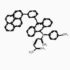 C=C(C)/C=C\C(=C)N(c1ccc(C)cc1)c1c2ccccc2c(-c2cccc(-c3ccc4ccc5cccc6ccc3c4c56)c2)c2ccccc12